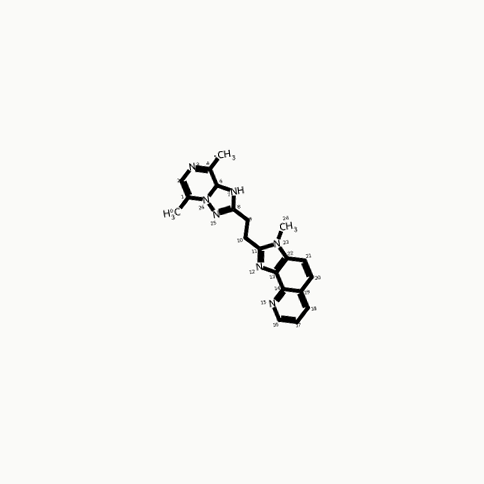 CC1=CN=C(C)C2NC(CCc3nc4c5ncccc5ccc4n3C)=NN12